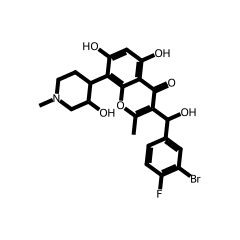 Cc1oc2c(C3CCN(C)CC3O)c(O)cc(O)c2c(=O)c1C(O)c1ccc(F)c(Br)c1